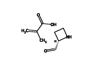 C=C(C)C(=O)O.O=C[C@@H]1CCN1